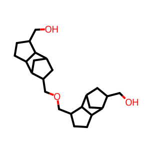 OCC1CC2CC1C1CCC(COCC3CC4CC3C3CCC(CO)C43)C21